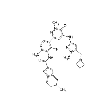 Cc1ccc(-c2cc(Nc3cc(CN4CCC4)n(C)n3)c(=O)n(C)n2)c(F)c1NC(=O)c1cc2c(s1)=CCC(C)C=2